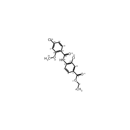 CCOC(=O)c1ccc(NC(=O)c2ccc(Cl)cc2OC)c(Cl)c1